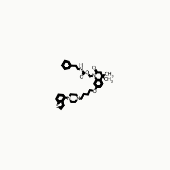 CC1(C)CC(=O)N(COC(=O)NCCc2ccccc2)c2cc(OCCCCN3CCN(c4cccc5sccc45)CC3)ccc21